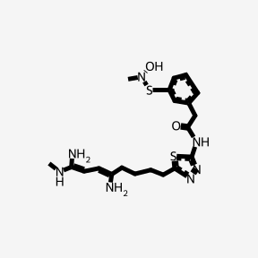 CN/C(N)=C/C=C(\N)CCCCc1nnc(NC(=O)Cc2cccc(SN(C)O)c2)s1